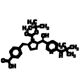 CC(C)(C)Nc1ccc([C@@H](O)[C@H]2CC[C@@H](Cc3ccc(C(=O)O)cc3)N2C(=O)OC(C)(C)C)cn1